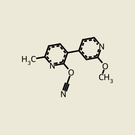 COc1cc(-c2ccc(C)nc2OC#N)ccn1